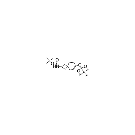 CC(C)(C)OC(=O)NC1CC2(CC=C(OS(=O)(=O)C(F)(F)F)CC2)C1